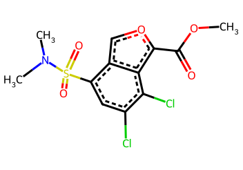 COC(=O)c1occ2c(S(=O)(=O)N(C)C)cc(Cl)c(Cl)c12